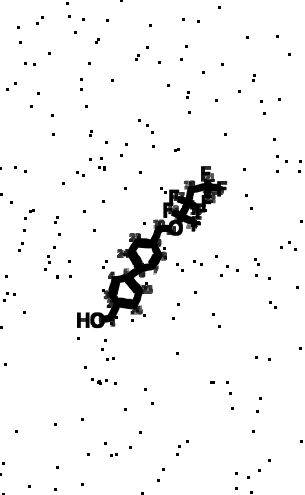 OCc1ccc(-c2ccc(COC(F)(F)C(F)(F)CC(F)(F)F)cc2)cc1